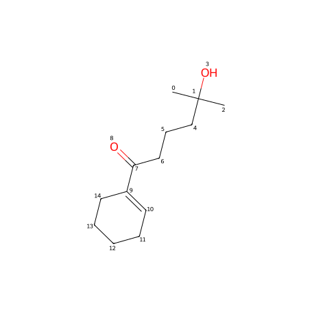 CC(C)(O)CCCC(=O)C1=CCCCC1